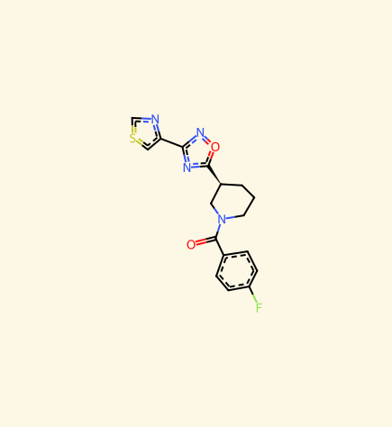 O=C(c1ccc(F)cc1)N1CCC[C@H](c2nc(-c3cscn3)no2)C1